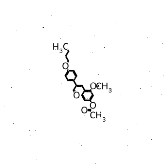 CCCCOc1ccc(/C(C=O)=C/c2ccc(OC(C)=O)cc2OC)cc1